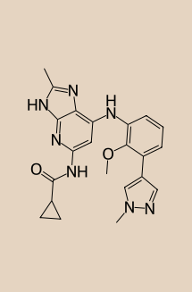 COc1c(Nc2cc(NC(=O)C3CC3)nc3[nH]c(C)nc23)cccc1-c1cnn(C)c1